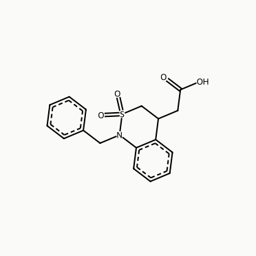 O=C(O)CC1CS(=O)(=O)N(Cc2ccccc2)c2ccccc21